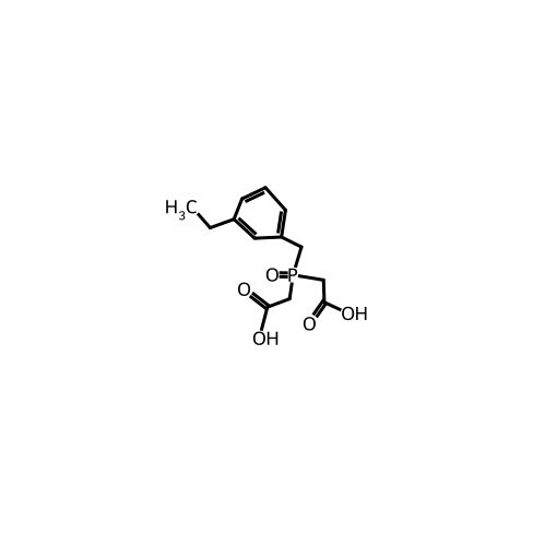 CCc1cccc(CP(=O)(CC(=O)O)CC(=O)O)c1